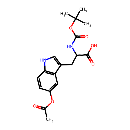 CC(=O)Oc1ccc2[nH]cc(CC(NC(=O)OC(C)(C)C)C(=O)O)c2c1